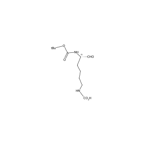 CC(C)(C)OC(=O)N[C@H](C=O)CCCCNC(=O)O